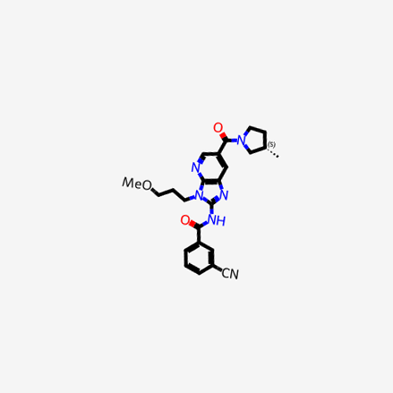 COCCCn1c(NC(=O)c2cccc(C#N)c2)nc2cc(C(=O)N3CC[C@H](C)C3)cnc21